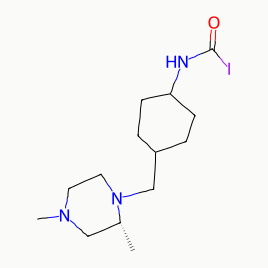 C[C@@H]1CN(C)CCN1CC1CCC(NC(=O)I)CC1